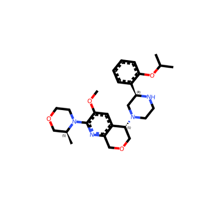 COc1cc2c(nc1N1CCOC[C@@H]1C)COC[C@H]2N1CCN[C@H](c2ccccc2OC(C)C)C1